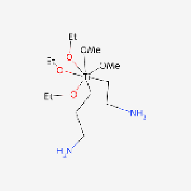 CC[O][Ti]([CH2]CN)([CH2]CCN)([O]C)([O]C)([O]CC)[O]CC